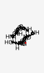 CC(C)CNc1ccc(S(=O)(=O)Oc2ccc3nc(NC(=O)CC4CCNCC4)sc3c2)cc1.Cl.Cl.O=C(CCC1CCNCC1)Nc1nc2ccc(OS(=O)(=O)c3ccc(NCCNCCO)cc3)cc2s1